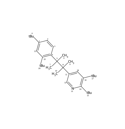 CC(C)(C)c1ccc(C(C)(C)C(C)(C)c2cnc(C(C)(C)C)c(C(C)(C)C)c2)c(C(C)(C)C)c1